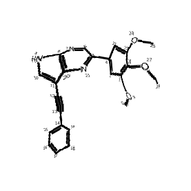 COc1cc(-c2cnc3[nH]cc(C#Cc4ccccc4)c3n2)cc(OC)c1OC